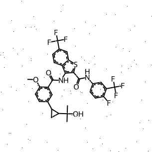 COc1ccc(C2CC2C(C)(C)O)cc1C(=O)Nc1c(C(=O)Nc2ccc(F)c(C(F)(F)F)c2)sc2cc(C(F)(F)F)ccc12